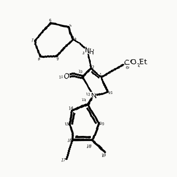 CCOC(=O)C1=C(NC2CCCCC2)C(=O)N(c2ccc(C)c(C)c2)C1